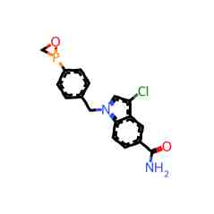 NC(=O)c1ccc2c(c1)c(Cl)cn2Cc1ccc(P2CO2)cc1